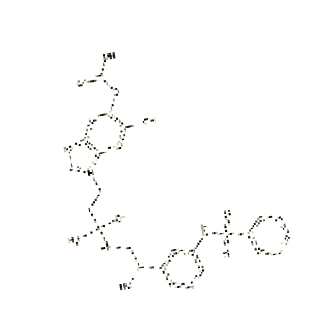 CC(C)(CCn1cnc2cc(OC(=O)O)c(O)cc21)NCC(O)c1cccc(NS(=O)(=O)c2ccccc2)c1